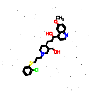 COc1ccc2nccc([C@H](O)CC[C@@H]3CCN(CCCSc4ccccc4Cl)C[C@@H]3CO)c2c1